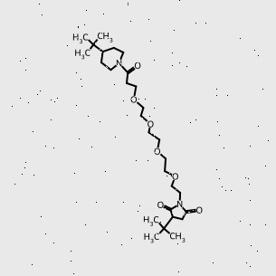 CC(C)(C)C1CCN(C(=O)CCOCCOCCOCCOCCN2C(=O)CC(C(C)(C)C)C2=O)CC1